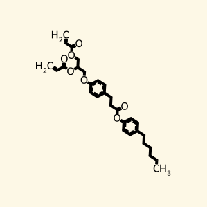 C=CC(=O)OCC(COc1ccc(CCC(=O)Oc2ccc(CCCCCC)cc2)cc1)OC(=O)C=C